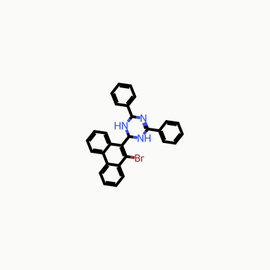 Brc1c(C2NC(c3ccccc3)=NC(c3ccccc3)N2)c2ccccc2c2ccccc12